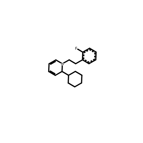 Fc1ccccc1CCN1C=CC=CC1C1CCCCC1